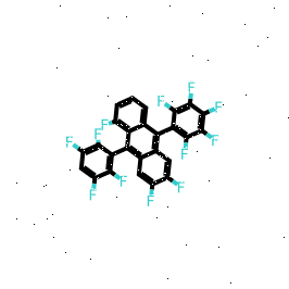 Fc1cc2c(-c3c(F)c(F)c(F)c(F)c3F)c3cccc(F)c3c(-c3c(F)c(F)cc(F)c3F)c2cc1F